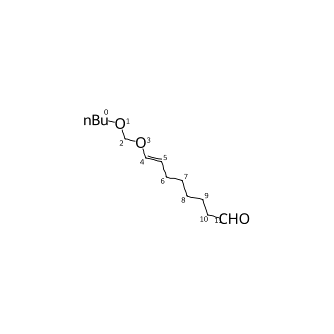 CCCCOCOC=CCCCCCC=O